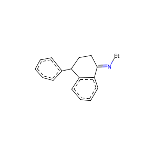 CCN=C1CCC(c2ccccc2)c2ccccc21